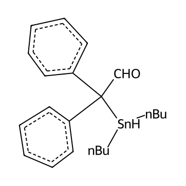 CCC[CH2][SnH]([CH2]CCC)[C](C=O)(c1ccccc1)c1ccccc1